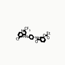 CCC(=O)Oc1cccc(C(=O)N[C@H]2CC[C@@H](Nc3cc(C(F)(F)F)nc4ccc(Cl)cc34)CC2)c1